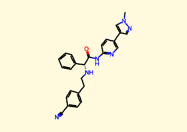 Cn1cc(-c2ccc(NC(=O)[C@H](NCCc3ccc(C#N)cc3)c3ccccc3)nc2)cn1